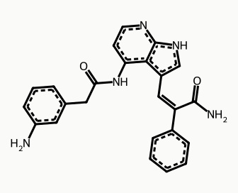 NC(=O)C(=Cc1c[nH]c2nccc(NC(=O)Cc3cccc(N)c3)c12)c1ccccc1